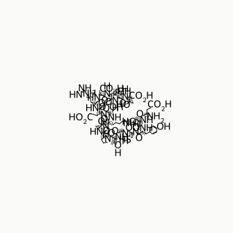 CC(C)[C@H](NC(=O)[C@H](CC(=O)O)NC(=O)[C@H](CCCNC(=N)N)NC(=O)[C@H](CCC(=O)O)NC(=O)[C@H](CO)NC(=O)[C@H](CCCCN)NC(=O)[C@H](C)NC(=O)[C@@H]1CCCN1C(=O)[C@@H](NC(=O)[C@H](C)NC(=O)[C@H](CS)NC(=O)[C@H](Cc1ccc(O)cc1)NC(=O)[C@@H](NC(=O)[C@@H](N)CCC(=O)O)[C@@H](C)O)[C@@H](C)O)C(=O)N[C@@H](CO)C(=O)N[C@H](C(=O)O)[C@@H](C)O